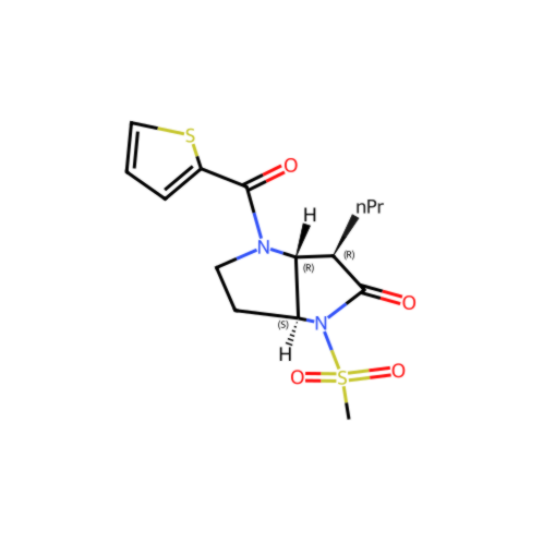 CCC[C@H]1C(=O)N(S(C)(=O)=O)[C@H]2CCN(C(=O)c3cccs3)[C@H]12